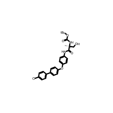 CC(C)(C)OC(=O)N[C@@](C)(CO)C(=O)Nc1ccc(Oc2ccc(-c3ccc(Cl)cc3)cc2)cc1